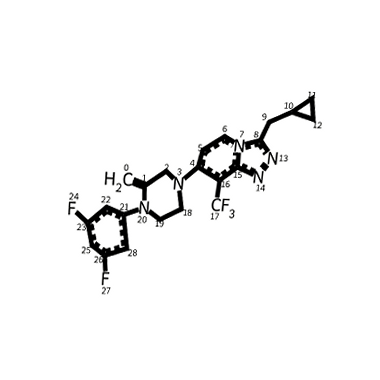 C=C1CN(c2ccn3c(CC4CC4)nnc3c2C(F)(F)F)CCN1c1cc(F)cc(F)c1